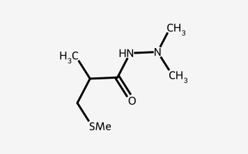 CSCC(C)C(=O)NN(C)C